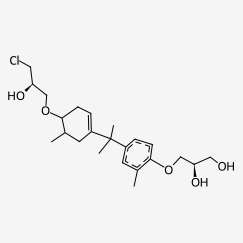 Cc1cc(C(C)(C)C2=CCC(OC[C@@H](O)CCl)C(C)C2)ccc1OC[C@H](O)CO